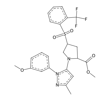 COC(=O)C1CC(S(=O)(=O)c2ccccc2C(F)(F)F)CN1c1cc(C)nn1-c1cccc(OC)c1